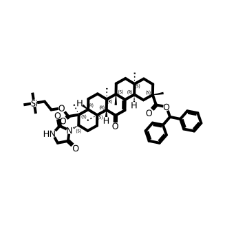 C[C@]1(C(=O)OC(c2ccccc2)c2ccccc2)CC[C@]2(C)CC[C@]3(C)C(=CC(=O)[C@@H]4[C@@]5(C)CC[C@H](N6C(=O)CNC6=O)[C@@](C)(C(=O)OCC[Si](C)(C)C)[C@@H]5CC[C@]43C)[C@@H]2C1